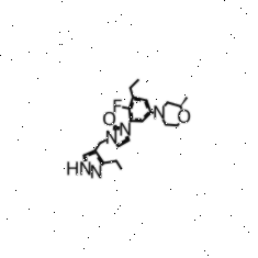 CCc1cc(N2CCO[C@H](C)C2)cc(-n2ccn(Cc3c[nH]nc3CC)c2=O)c1F